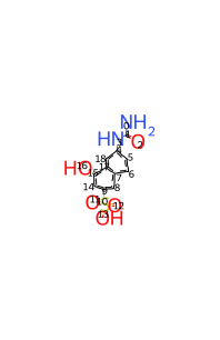 NC(=O)Nc1ccc2cc(S(=O)(=O)O)cc(O)c2c1